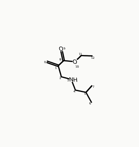 C=C(CNCC(C)C)C(=O)OCC